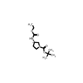 CCOC(=O)N[C@@H]1CCN(C(=O)OC(C)(C)C)C1